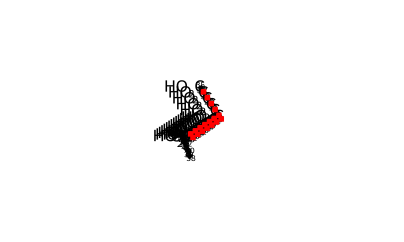 CC(=O)O.CC(=O)O.CC(=O)O.CC(=O)O.CC(=O)O.CC(=O)O.CC(=O)O.CC(=O)O.CC(=O)O.CC(=O)O.CC(=O)O.CC(=O)O.CC(=O)O.CC(=O)O.CC(=O)O.CC(=O)O.CC(=O)O.CC(=O)O.CC(=O)O.CCCCCCCC(=O)OCC